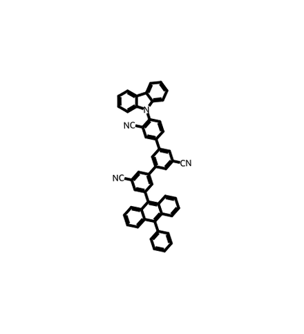 N#Cc1cc(-c2cc(C#N)cc(-c3c4ccccc4c(-c4ccccc4)c4ccccc34)c2)cc(-c2ccc(-n3c4ccccc4c4ccccc43)c(C#N)c2)c1